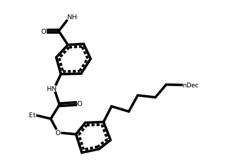 CCCCCCCCCCCCCCCc1cccc(OC(CC)C(=O)Nc2cccc(C([NH])=O)c2)c1